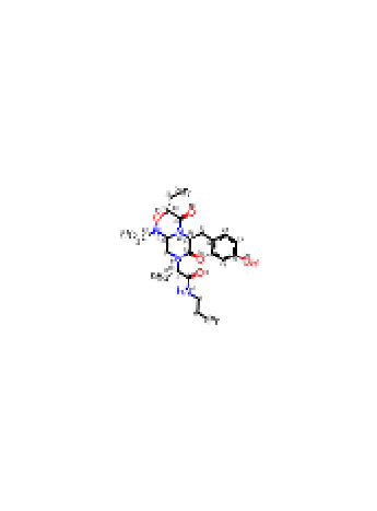 CCCC[C@@H](C(=O)NCCC(C)C)N1CC2N(C(=O)O)O[C@H](CC(C)C)C(=O)N2[C@@H](Cc2ccc(O)cc2)C1=O